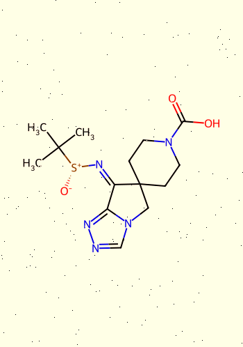 CC(C)(C)[S@@+]([O-])/N=C1\c2nncn2CC12CCN(C(=O)O)CC2